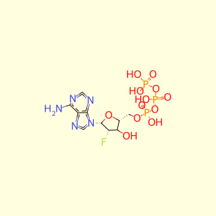 Nc1ncnc2c1ncn2[C@@H]1O[C@H](COP(=O)(O)OP(=O)(O)OP(=O)(O)O)C(O)[C@@H]1F